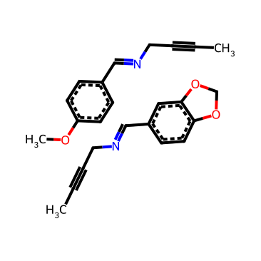 CC#CC/N=C/c1ccc(OC)cc1.CC#CC/N=C/c1ccc2c(c1)OCO2